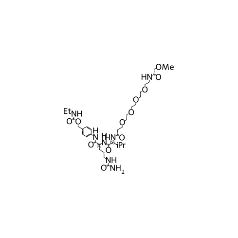 CCNC(=O)OCc1ccc(NC(=O)[C@H](CCCNC(N)=O)NC(=O)[C@@H](NC(=O)CCOCCOCCOCCOCCNC(=O)COC)C(C)C)cc1